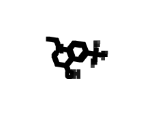 CCN1CCC(O)c2cc(C(F)(F)F)ccc21